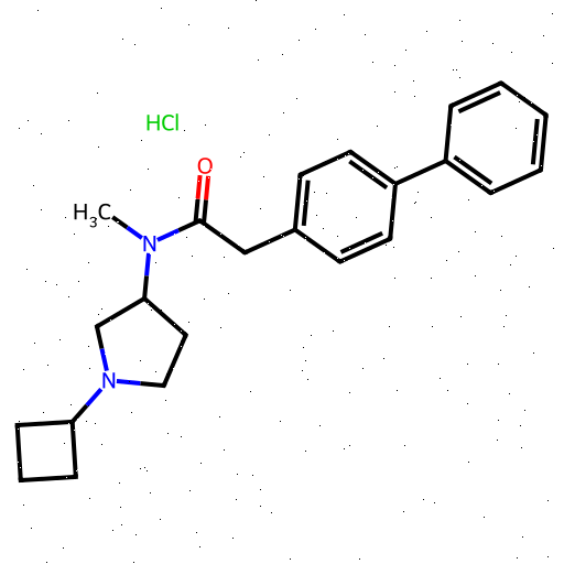 CN(C(=O)Cc1ccc(-c2ccccc2)cc1)C1CCN(C2CCC2)C1.Cl